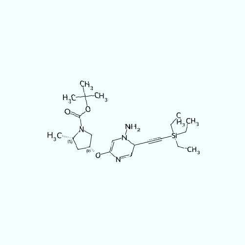 CC[Si](C#CC1C=NC(O[C@@H]2C[C@H](C)N(C(=O)OC(C)(C)C)C2)=CN1N)(CC)CC